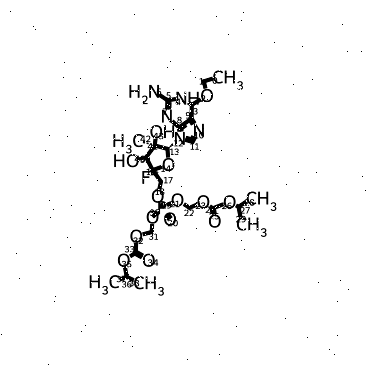 CCOC1NC(N)=Nc2c1ncn2[C@@H]1O[C@](F)(COP(=O)(OCOC(=O)OC(C)C)OCOC(=O)OC(C)C)[C@@H](O)[C@@]1(C)O